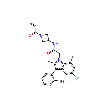 C=CC(=O)N1CC(NC(=O)Cn2c(C)c(-c3ccccc3C(C)C)c3cc(Br)cc(C)c32)C1